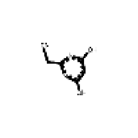 N#CCc1nc(O)cc(O)n1